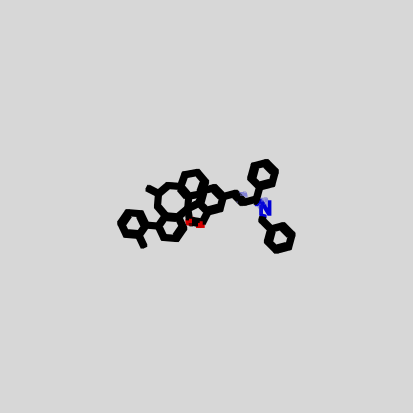 Cc1ccccc1C1CC=CC2=C1CC(C)CC1=C(C=CCC1)C21c2ccccc2-c2cc(/C=C/C(=N\Cc3ccccc3)c3ccccc3)ccc21